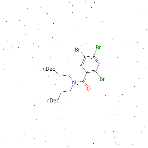 CCCCCCCCCCCCN(CCCCCCCCCCCC)C(=O)c1cc(Br)c(Br)cc1Br